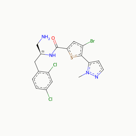 Cn1nccc1-c1sc(C(=O)N[C@H](CN)Cc2ccc(Cl)cc2Cl)cc1Br